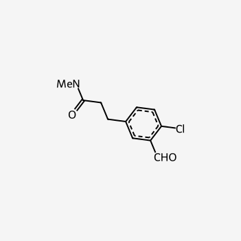 CNC(=O)CCc1ccc(Cl)c(C=O)c1